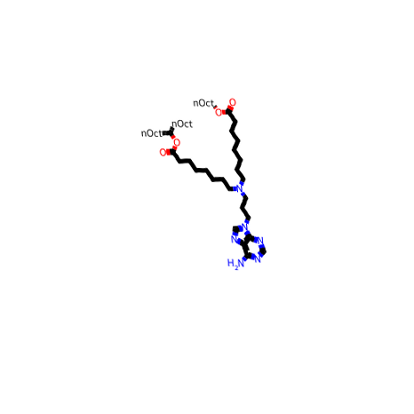 CCCCCCCCOC(=O)CCCCCCCN(CCCCCCCC(=O)OC(CCCCCCCC)CCCCCCCC)CCCn1cnc2c(N)ncnc21